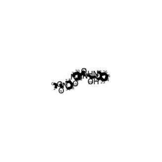 CC(C)OC(=O)N1CCC(Oc2cc(C(=O)NC[C@@H](O)[C@@H]3Cc4ccccc4CN3)ccn2)CC1